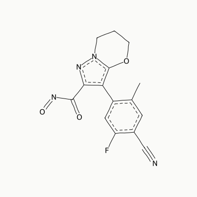 Cc1cc(C#N)c(F)cc1-c1c(C(=O)N=O)nn2c1OCCC2